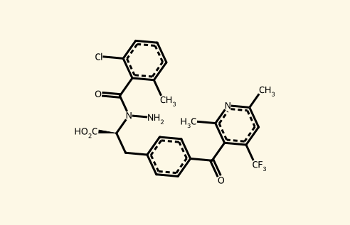 Cc1cc(C(F)(F)F)c(C(=O)c2ccc(C[C@@H](C(=O)O)N(N)C(=O)c3c(C)cccc3Cl)cc2)c(C)n1